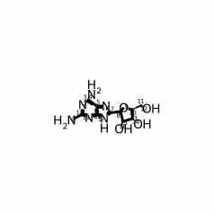 Nc1nc(N)c2nc(C3O[C@@H](CO)[C@@H](O)[C@@H]3O)[nH]c2n1